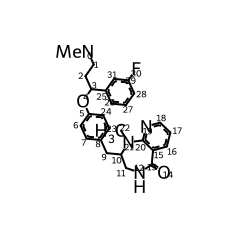 CNCCC(Oc1ccc(CC2CNC(=O)c3cccnc3N2C)cc1)c1cccc(F)c1